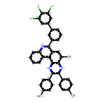 N#Cc1ccc(-c2nc3c(C#N)cc4c(-c5cccc(-c6cc(F)c(F)c(F)c6)c5)nc5ccccc5c4c3nc2-c2ccc(C#N)cc2)cc1